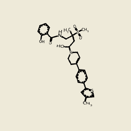 Cc1csc(-c2ccc(C3=CCN(C(O)CC(C)(CNC(=O)c4ccccc4O)S(C)(=O)=O)CC3)cc2)c1